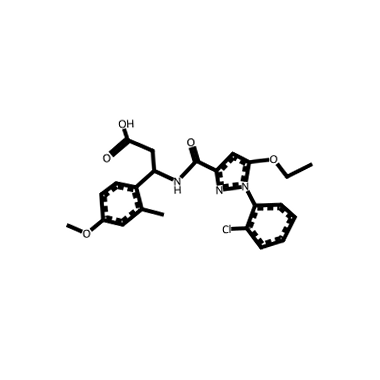 CCOc1cc(C(=O)NC(CC(=O)O)c2ccc(OC)cc2C)nn1-c1ccccc1Cl